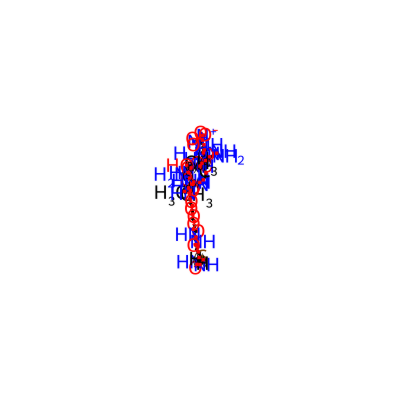 CC(C)C[C@H](NC(=O)[C@@H]1Cc2cn(nn2)CCCC[C@H](NC(=O)[C@H](CCCNC(=N)N)NC(=O)[C@@H](N)CCNc2cc([N+](=O)[O-])cc([N+](=O)[O-])c2)C(=O)N[C@@H]([C@@H](C)O)C(=O)N[C@@H](CCN)C(=O)N1)C(=O)NCCOCCOCCOCCOCCC(=O)NCCNC(=O)CCCC[C@@H]1SC[C@@H]2NC(=O)N[C@@H]21